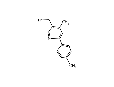 Cc1ccc(-c2cc(C)c(CC(C)C)cn2)cc1